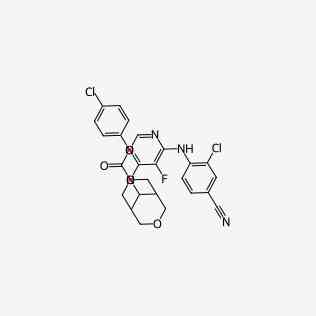 N#Cc1ccc(Nc2ncnc(OC3C4COCC3CN(C(=O)Oc3ccc(Cl)cc3)C4)c2F)c(Cl)c1